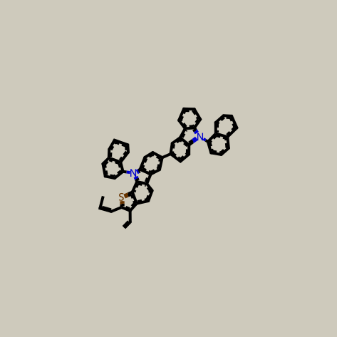 C=Cc1c(/C=C\C)sc2c1ccc1c3cc(-c4ccc5c(c4)c4ccccc4n5-c4cccc5ccccc45)ccc3n(-c3cccc4ccccc34)c12